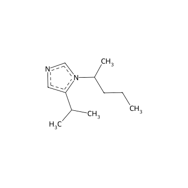 CCCC(C)n1cncc1C(C)C